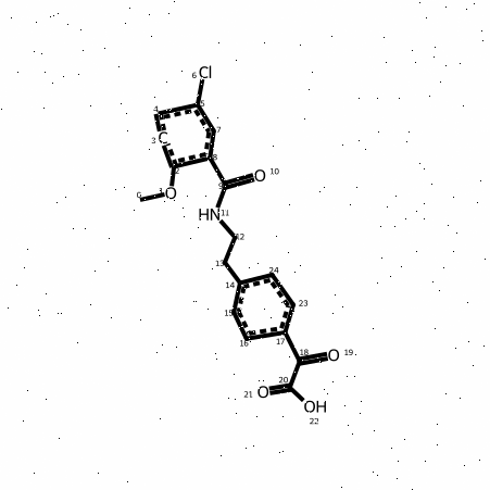 COc1ccc(Cl)cc1C(=O)NCCc1ccc(C(=O)C(=O)O)cc1